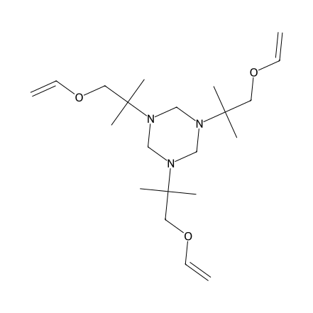 C=COCC(C)(C)N1CN(C(C)(C)COC=C)CN(C(C)(C)COC=C)C1